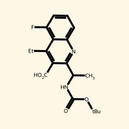 CCc1c(C(=O)O)c(C(C)NC(=O)OC(C)(C)C)nc2cccc(F)c12